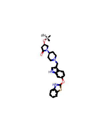 CC(C)(C)[Si](C)(C)O[C@@H]1CC(=O)N(C2CCN(Cc3c[nH]c4cc(OC5Nc6ccccc6S5)ccc34)CC2)C1